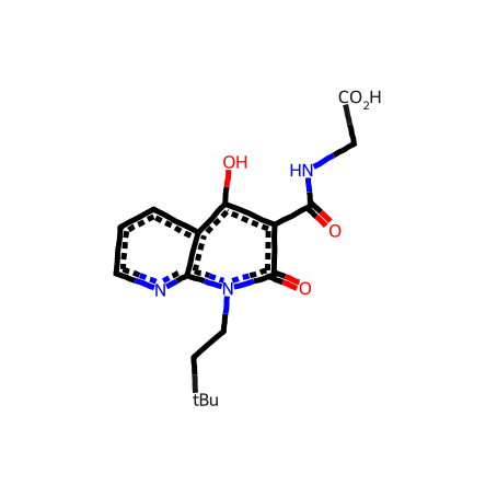 CC(C)(C)CCn1c(=O)c(C(=O)NCC(=O)O)c(O)c2cccnc21